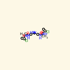 C[C@H](NC(=O)c1cc(Cl)cc2ccccc12)C(=O)Nc1ccc(-c2cc(-c3ccc(NC(=O)[C@H](C)NC(=O)c4cc(Cl)cc5ccccc45)cc3)[nH]n2)cc1